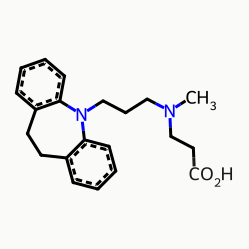 CN(CCCN1c2ccccc2CCc2ccccc21)CCC(=O)O